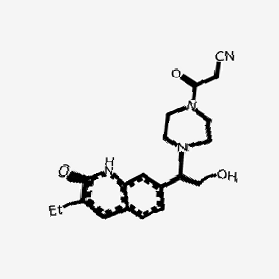 CCc1cc2ccc(C(CO)N3CCN(C(=O)CC#N)CC3)cc2[nH]c1=O